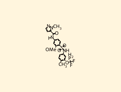 COc1cc(N(I)C(=O)c2ccnn2C)ccc1S(=O)(=O)Nc1ccc(C)c(OC(F)(F)P)c1